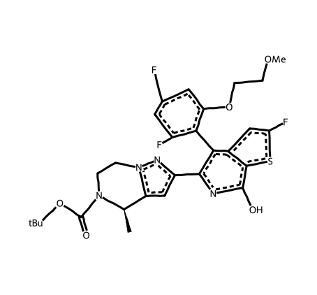 COCCOc1cc(F)cc(F)c1-c1c(-c2cc3n(n2)CCN(C(=O)OC(C)(C)C)[C@@H]3C)nc(O)c2sc(F)cc12